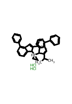 CC(C)C1=Cc2c(-c3ccccc3)cccc2[CH]1[Hf]1([CH]2C(C(C)C)=Cc3c(-c4ccccc4)cccc32)[CH2][CH2]1.Cl.Cl